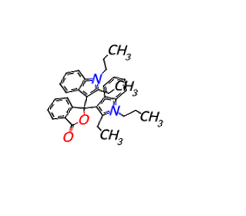 CCCn1c(CC)c(C2(c3c(CC)n(CCC)c4ccccc34)OC(=O)c3ccccc32)c2ccccc21